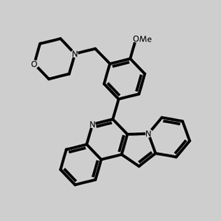 COc1ccc(-c2nc3ccccc3c3cc4ccccn4c23)cc1CN1CCOCC1